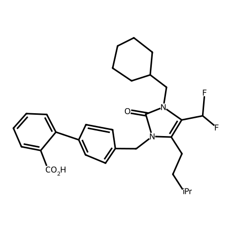 CC(C)CCc1c(C(F)F)n(CC2CCCCC2)c(=O)n1Cc1ccc(-c2ccccc2C(=O)O)cc1